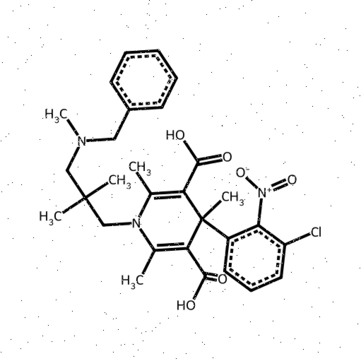 CC1=C(C(=O)O)C(C)(c2cccc(Cl)c2[N+](=O)[O-])C(C(=O)O)=C(C)N1CC(C)(C)CN(C)Cc1ccccc1